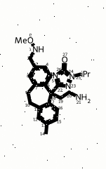 CONCc1ccc2c(c1)CCc1cc(C)ccc1C2(CCN)c1nn(C(C)C)c(=O)[nH]1